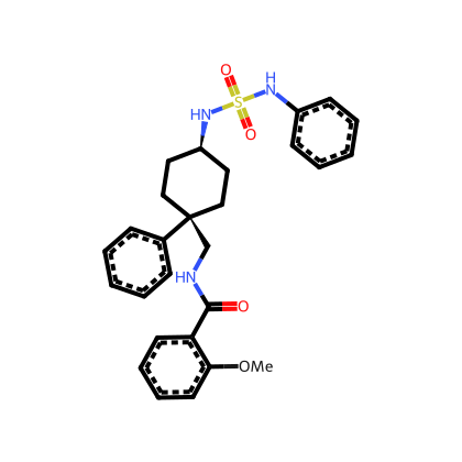 COc1ccccc1C(=O)NC[C@]1(c2ccccc2)CC[C@H](NS(=O)(=O)Nc2ccccc2)CC1